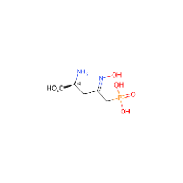 N[C@@H](CC(CP(=O)(O)O)=NO)C(=O)O